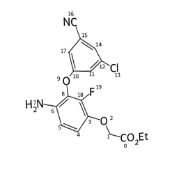 CCOC(=O)COc1ccc(N)c(Oc2cc(Cl)cc(C#N)c2)c1F